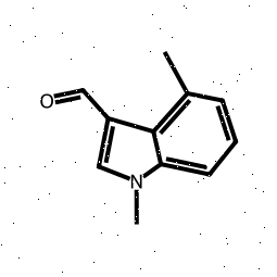 Cc1cccc2c1c(C=O)cn2C